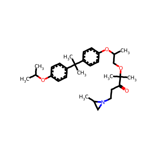 CC(C)Oc1ccc(C(C)(C)c2ccc(OC(C)COC(C)(C)C(=O)CCN3CC3C)cc2)cc1